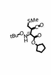 CSCC(=C=O)[C@H](NOC(C)(C)C)C(=O)OC1CCCC1